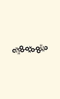 CC1(C)c2ccc(-c3ccc4c5c(cccc35)/C(=N/c3ccccn3)N4)cc2C(C)(C)c2ccc(-c3ccc4c5c(cccc35)/C(=N/c3ccccn3)N4)cc21